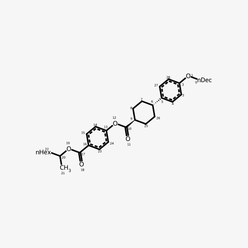 CCCCCCCCCCOc1ccc([C@H]2CC[C@H](C(=O)Oc3ccc(C(=O)OC(C)CCCCCC)cc3)CC2)cc1